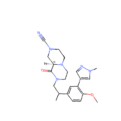 COc1ccc(C(C)CN2CCN3CCN(C#N)C[C@@H]3C2=O)cc1-c1cnn(C)c1